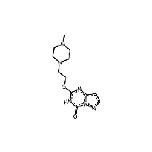 CN1CCN(CCSc2nc3ccnn3c(=O)[nH]2)CC1